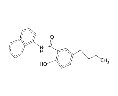 CCCCc1ccc(O)c(C(=O)Nc2cccc3ccccc23)c1